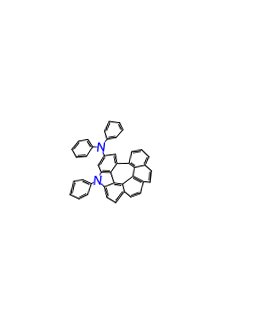 c1ccc(N(c2ccccc2)c2cc3c4c5c6c(ccc7ccc8cccc-3c8c76)ccc5n(-c3ccccc3)c4c2)cc1